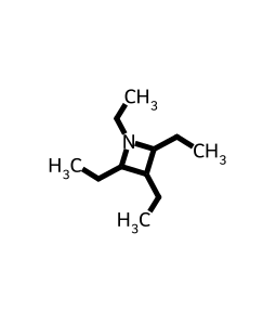 CCC1C(CC)N(CC)C1CC